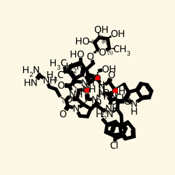 CC(=O)N[C@H](Cc1ccc2ccccc2c1)C(=O)C1CCN(C(=O)[C@H](CCCNC(=N)N)NC(=O)[C@H](CC(C)C)NC(=O)[C@H](N)CO[C@@H]2O[C@@H](C)[C@H](O)[C@@H](O)[C@H]2O)[C@@]1(C(=O)NNC(N)=O)C(=O)[C@H](Cc1ccc(O)cc1)NC(=O)[C@H](CO)NC(=O)[C@@H](Cc1c[nH]c2ccccc12)NC(=O)[C@H](N)Cc1ccc(Cl)cc1